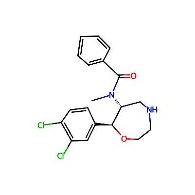 CN(C(=O)c1ccccc1)[C@@H]1CNCCO[C@H]1c1ccc(Cl)c(Cl)c1